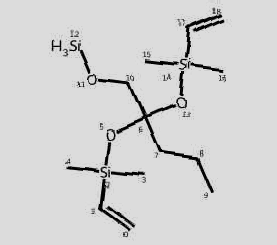 C=C[Si](C)(C)OC(CCC)(CO[SiH3])O[Si](C)(C)C=C